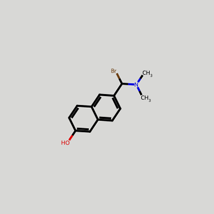 CN(C)C(Br)c1ccc2cc(O)ccc2c1